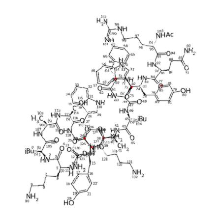 CC[C@H](C)[C@H](NC(=O)[C@H](CCCCN)NC(=O)[C@H](Cc1ccc(O)cc1)NC(=O)[C@H](Cc1c[nH]c2ccccc12)NC(=O)[C@H](C)NC(=O)[C@@H](NC(=O)[C@H](Cc1c[nH]c2ccccc12)NC(=O)[C@H](Cc1ccccc1)NC(=O)[C@H](Cc1ccc(O)cc1)NC(=O)[C@H](CCC(N)=O)NC(=O)[C@H](CCCNC(=N)N)NC(C)=O)[C@@H](C)CC)C(=O)N[C@@H](C)C(=O)N[C@@H](CO)C(=O)N[C@@H](CC(N)=O)C(=O)N[C@@H](CCCCN)C(N)=O